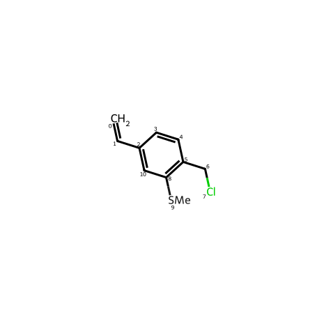 C=Cc1ccc(CCl)c(SC)c1